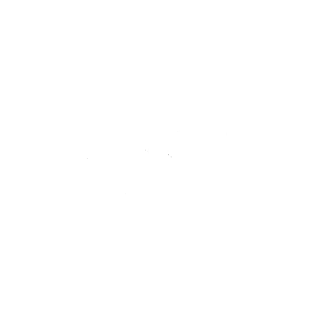 CCOC(=O)c1cn(-c2ccc(Br)cc2OC)c(C)n1